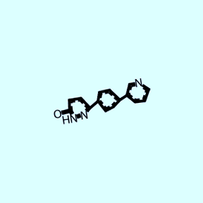 O=c1ccc(-c2ccc(-c3cccnc3)cc2)n[nH]1